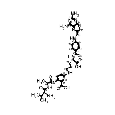 CC(C)[C@H](N)C(=O)N[C@@H](C)C(=O)Nc1ccc(NCCC[C@H](NC(=O)c2ccc(NCc3cnc4nc(N)nc(N)c4n3)cc2)C(=O)O)cc1C(=O)O